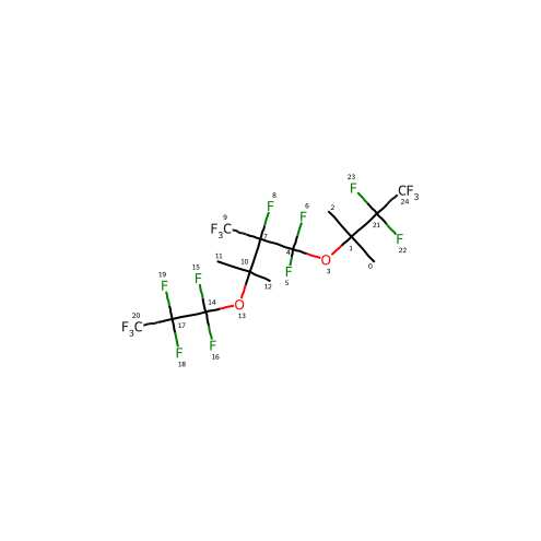 CC(C)(OC(F)(F)C(F)(C(F)(F)F)C(C)(C)OC(F)(F)C(F)(F)C(F)(F)F)C(F)(F)C(F)(F)F